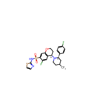 O=S(=O)(Nc1nccs1)c1cc2c(cc1F)[C@H](N1CCC(C(F)(F)F)C[C@@H]1c1ccc(F)cc1)CCO2